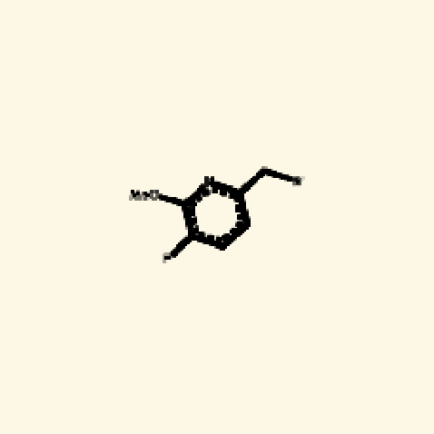 COc1nc(CBr)ccc1F